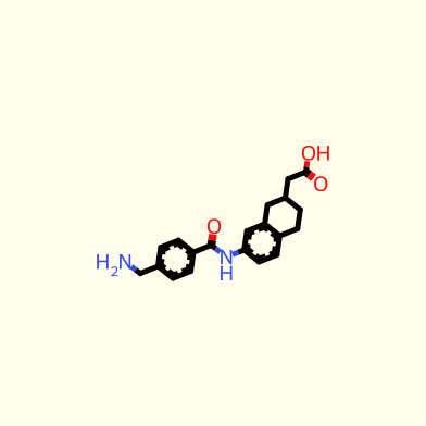 NCc1ccc(C(=O)Nc2ccc3c(c2)CC(CC(=O)O)CC3)cc1